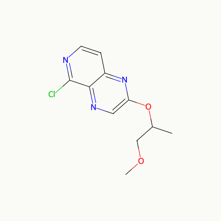 COCC(C)Oc1cnc2c(Cl)nccc2n1